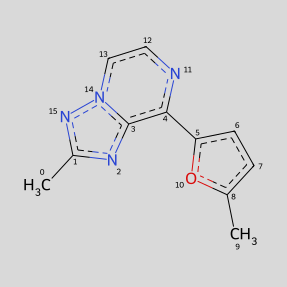 Cc1nc2c(-c3ccc(C)o3)nccn2n1